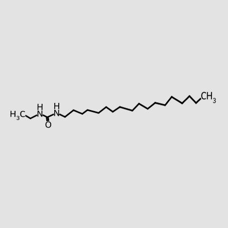 CCCCCCCCCCCCCCCCCCNC(=O)NCC